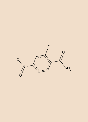 NC(=O)c1ccc([N+](=O)[O-])cc1Cl